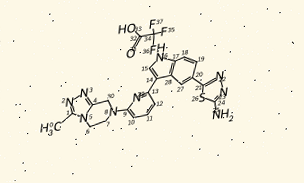 Cc1nnc2n1CCN(c1cccc(-c3c[nH]c4ccc(-c5nnc(N)s5)cc34)n1)C2.O=C(O)C(F)(F)F